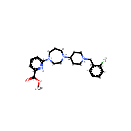 CC(C)(C)OC(=O)c1cccc(N2CCCN(C3CCN(Cc4ccccc4Cl)CC3)CC2)n1